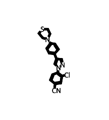 N#Cc1ccc(-n2cc(-c3ccc(N4CCSCC4)cc3)cn2)c(Cl)c1